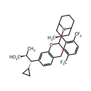 C[C@H](C(=O)O)[C@H](c1ccc2c(c1)OC(C1CC3CCCC(C1)N3[C@H](C)c1cc(C(F)(F)F)ccc1C(F)(F)F)CC2)C1CC1